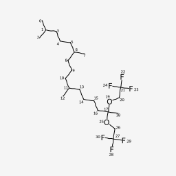 CC(C)CCCC(C)CCCC(C)CCCCC(C)(OCC(F)(F)F)OCC(F)(F)F